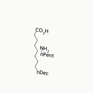 CCCCCCCCCCCCCCCCCC(=O)O.CCCCCN